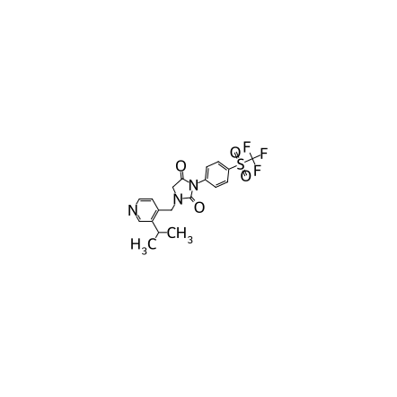 CC(C)c1cnccc1CN1CC(=O)N(c2ccc(S(=O)(=O)C(F)(F)F)cc2)C1=O